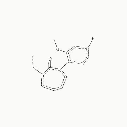 CCc1ccccc(-c2ccc(F)cc2OC)c1=O